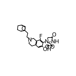 O=C1CN(c2c(O)cc3c(c2F)CN(CCC2CC4CCC2O4)CC3)S(=O)(=O)N1